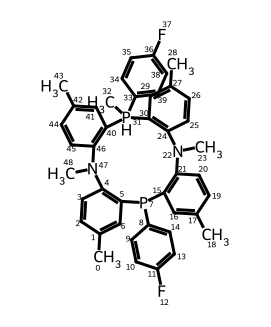 Cc1ccc2c(c1)P(c1ccc(F)cc1)c1cc(C)ccc1N(C)c1ccc(C)cc1[PH](C)(c1ccc(F)cc1)c1cc(C)ccc1N2C